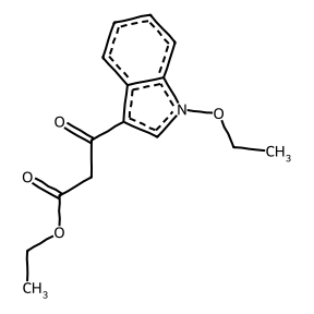 CCOC(=O)CC(=O)c1cn(OCC)c2ccccc12